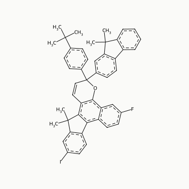 CC(C)(C)c1ccc(C2(c3ccc4c(c3)C(C)(C)c3ccccc3-4)C=Cc3c4c(c5ccc(F)cc5c3O2)-c2ccc(I)cc2C4(C)C)cc1